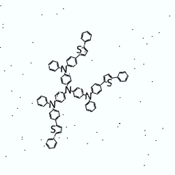 c1ccc(-c2ccc(-c3ccc(N(c4ccccc4)c4ccc(N(c5ccc(N(c6ccccc6)c6ccc(-c7ccc(-c8ccccc8)s7)cc6)cc5)c5ccc(N(c6ccccc6)c6ccc(-c7ccc(-c8ccccc8)s7)cc6)cc5)cc4)cc3)s2)cc1